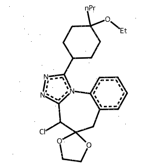 CCCC1(OCC)CCC(c2nnc3n2-c2ccccc2CC2(OCCO2)C3Cl)CC1